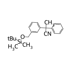 CC(C#N)(c1ccccc1)c1cccc(CO[Si](C)(C)C(C)(C)C)c1